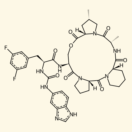 C[C@H]1C[C@H]2C(=O)OC[C@H](NC(=O)[C@H](Cc3cc(F)cc(F)c3)NC(=O)Nc3ccc4[nH]cnc4c3)C(=O)N3CCC[C@H]3C(=O)N3CCCC[C@H]3C(=O)N[C@@H](C)C(=O)N2C1